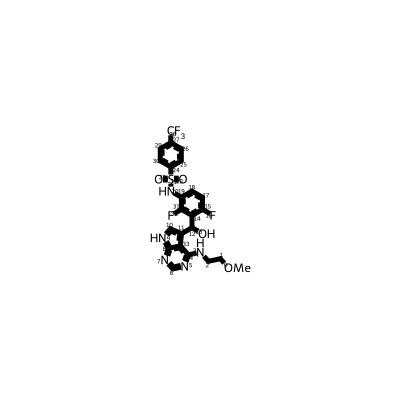 COCCNc1ncnc2[nH]cc(C(O)c3c(F)ccc(NS(=O)(=O)c4ccc(C(F)(F)F)cc4)c3F)c12